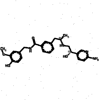 COc1cc(CNC(=O)c2cccc(C[C@@H](C)NC[C@@H](O)c3ccc(N)nc3)c2)ccc1O